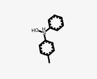 Cc1ccc([SiH](O)c2ccccc2)cc1